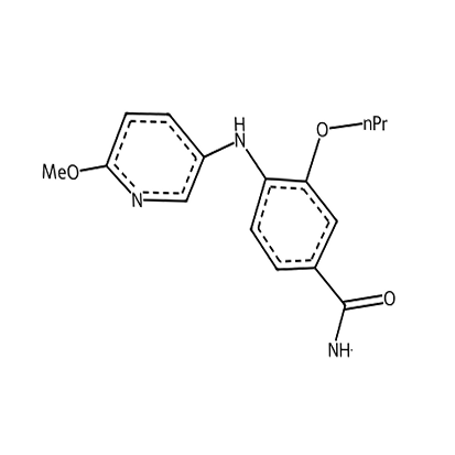 CCCOc1cc(C([NH])=O)ccc1Nc1ccc(OC)nc1